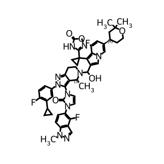 C[C@H]1c2c(nn(-c3ccc(F)c(C4CC4)c3)c2-n2ccn(-c3ccc4c(cnn4C)c3F)c2=O)CCN1C(O)c1cn2cc([C@@H]3CCOC(C)(C)C3)cc(F)c2c1C1(c2noc(=O)[nH]2)CC1